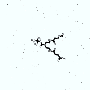 CC(C)(C)OC(=O)N(CCNC(=O)CCOC=O)CCNC(=O)CCC(=O)O